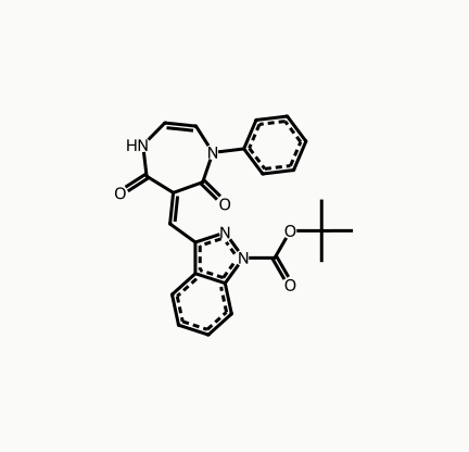 CC(C)(C)OC(=O)n1nc(/C=C2/C(=O)NC=CN(c3ccccc3)C2=O)c2ccccc21